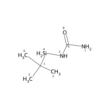 CC(C)(C)[SiH2]NC(N)=O